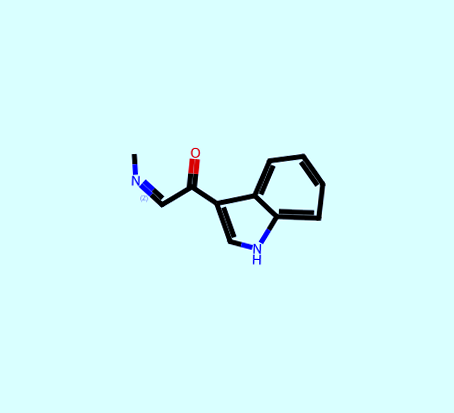 C/N=C\C(=O)c1c[nH]c2ccccc12